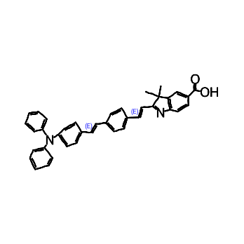 CC1(C)C(/C=C/c2ccc(/C=C/c3ccc(N(c4ccccc4)c4ccccc4)cc3)cc2)=Nc2ccc(C(=O)O)cc21